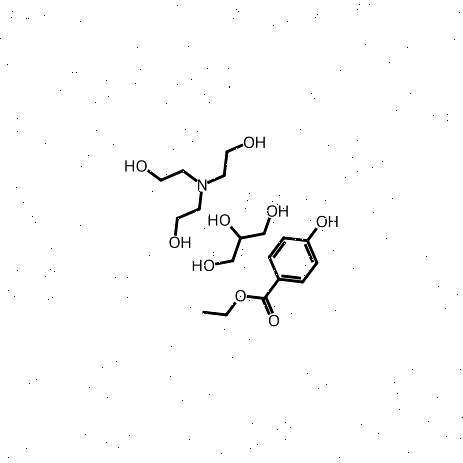 CCOC(=O)c1ccc(O)cc1.OCC(O)CO.OCCN(CCO)CCO